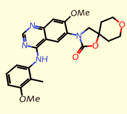 COc1cc2ncnc(Nc3cccc(OC)c3C)c2cc1N1CC2(CCOCC2)OC1=O